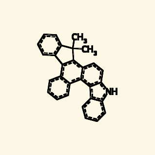 CC1(C)c2ccccc2-c2c1c1ccc3[nH]c4ccccc4c3c1c1ccccc21